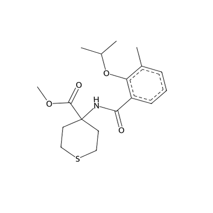 COC(=O)C1(NC(=O)c2cccc(C)c2OC(C)C)CCSCC1